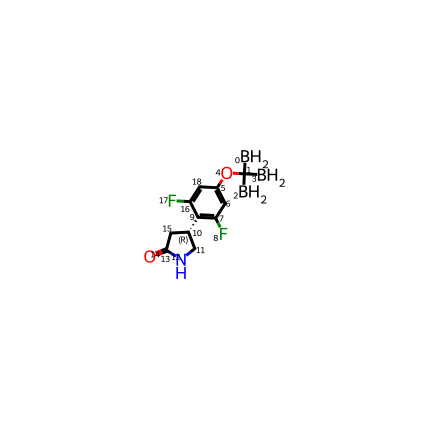 BC(B)(B)Oc1cc(F)c([C@@H]2CNC(=O)C2)c(F)c1